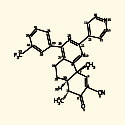 C[C@H]1C(=O)C(C#N)=C[C@@]2(C)c3nc(-c4ccncc4)nc(-c4cccc(C(F)(F)F)c4)c3CC[C@H]12